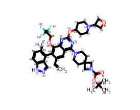 C=Cc1cc2c(N3CCC4(CC3)CN(C(=O)OC(C)(C)C)C4)nc(OC3CCN(C4COC4)CC3)nc2c(OCC(F)(F)F)c1-c1c(C)ccc2[nH]ncc12